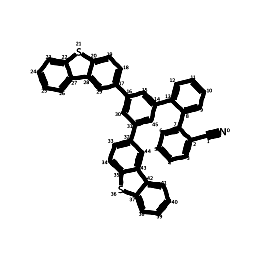 N#Cc1ccccc1-c1ccccc1-c1cc(-c2ccc3sc4ccccc4c3c2)cc(-c2ccc3sc4ccccc4c3c2)c1